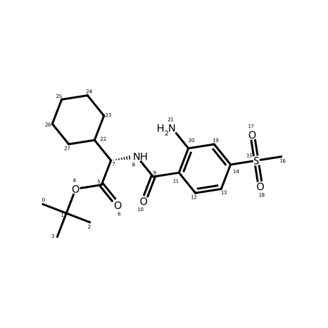 CC(C)(C)OC(=O)[C@@H](NC(=O)c1ccc(S(C)(=O)=O)cc1N)C1CCCCC1